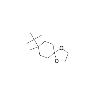 CC(C)(C)C1(C)CCC2(CC1)OCCO2